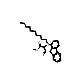 CCCCCCCCCCN(c1cccc2c1Cc1ccccc1-2)C(C=O)C(=O)OC